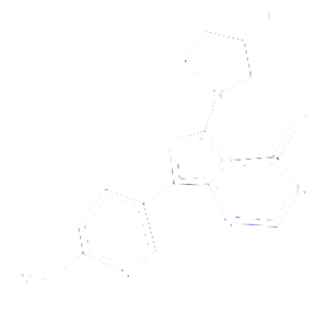 CC[C@H]1CCN(c2sc(-c3ccc(OC)nc3)c3nc[nH]c(=O)c23)C1